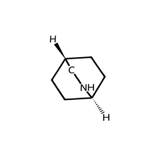 C1C[C@H]2CC[C@H]1CN2